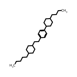 CCCCCC1CCC(CCc2ccc(C3CCC(CCCC)CC3)cc2)CC1